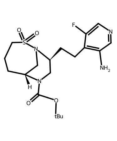 CC(C)(C)OC(=O)N1C[C@H](CCc2c(N)cncc2F)N2C[C@H]1CCCS2(=O)=O